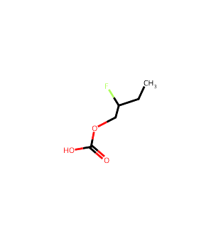 CCC(F)COC(=O)O